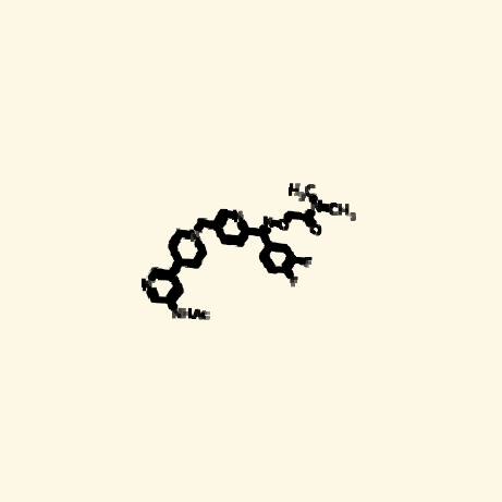 CC(=O)Nc1cncc(C2CCN(Cc3ccc(C(=NOCC(=O)N(C)C)c4ccc(F)c(F)c4)nc3)CC2)c1